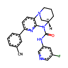 N#Cc1cccc(-c2ccc3c(n2)N(C(=O)Nc2cncc(F)c2)[C@H]2CCCN3C2)c1